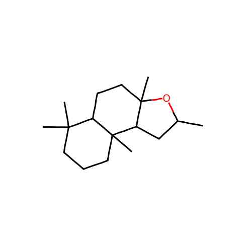 CC1CC2C(C)(CCC3C(C)(C)CCCC32C)O1